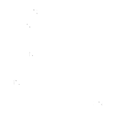 Cc1ccc(C(=O)NC2CC2)cc1-c1cc2cnnc(N3CCNC(=O)C3)c2s1